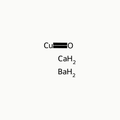 [BaH2].[CaH2].[O]=[Cu]